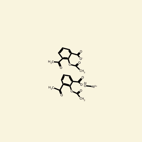 CC(=O)Oc1c(C(C)=O)cccc1C(=O)[O-].CC(=O)Oc1c(C(C)=O)cccc1C(=O)[O-].[OH][Al+2]